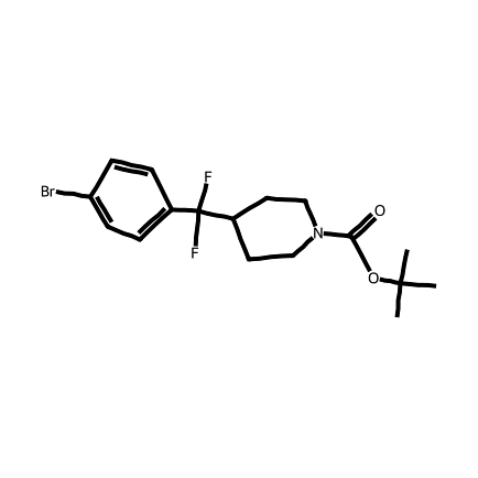 CC(C)(C)OC(=O)N1CCC(C(F)(F)c2ccc(Br)cc2)CC1